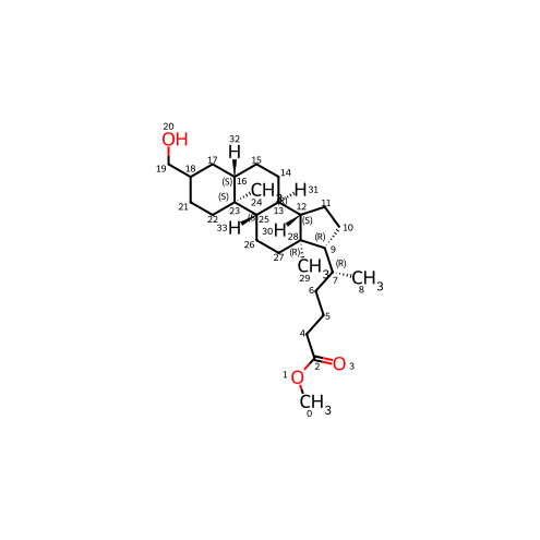 COC(=O)CCC[C@@H](C)[C@H]1CC[C@H]2[C@@H]3CC[C@H]4CC(CO)CC[C@]4(C)[C@H]3CC[C@]12C